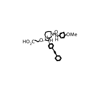 COc1ccc(NC(=O)N2CCCCN3[C@@H](COCCC(=O)O)[C@H](c4ccc(C#Cc5ccccc5)cc4)[C@@H]3C2)cc1